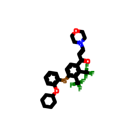 O=C(C=CN1CCOCC1)c1ccc(Sc2ccccc2OC2CCCCC2)c(C(F)(F)F)c1C(F)(F)F